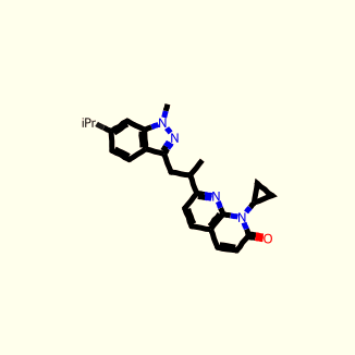 CC(C)c1ccc2c(CC(C)c3ccc4ccc(=O)n(C5CC5)c4n3)nn(C)c2c1